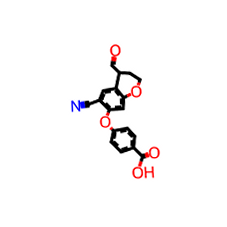 N#Cc1cc2c(cc1Oc1ccc(C(=O)O)cc1)OCCC2C=O